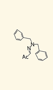 CC(=O)C=NN(Cc1ccccc1)Cc1ccccc1